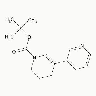 CC(C)(C)OC(=O)N1C=C(c2cccnc2)CCC1